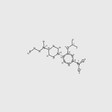 CC(C)Oc1cc([N+](=O)[O-])ccc1N1CCC(N(C)CCF)CC1